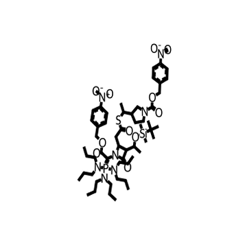 CCCN(CCC)P(=C(C(=O)OCc1ccc([N+](=O)[O-])cc1)N1C(=O)C(C(C)O[Si](C)(C)C(C)(C)C)C1CC(=O)SC(C)C1CCN(C(=O)OCc2ccc([N+](=O)[O-])cc2)C1)(N(CCC)CCC)N(CCC)CCC